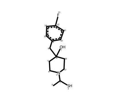 CC(S)N1CCC(O)(Cc2ccc(F)cc2)CC1